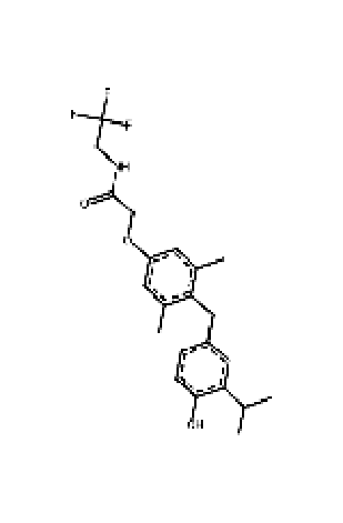 Cc1cc(OCC(=O)NCC(F)(F)F)cc(C)c1Cc1ccc(O)c(C(C)C)c1